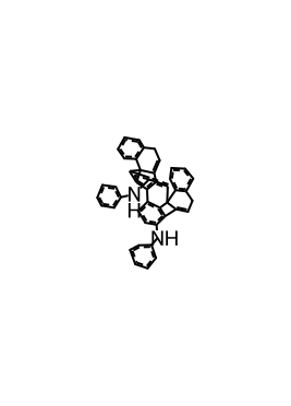 C1=C2c3c(Nc4ccccc4)ccc4c3C2(c2ccccc2C1)c1c(Nc2ccccc2)c2c3c-4c1C1=CCc4ccccc4C123